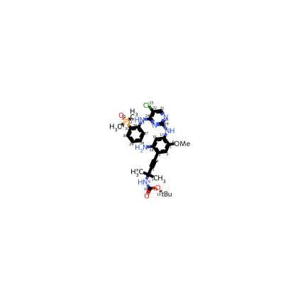 COc1cc(C#CC(C)(C)NC(=O)OC(C)(C)C)c(N)cc1Nc1ncc(Cl)c(Nc2ccccc2P(C)(C)=O)n1